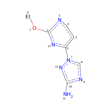 CCOc1nccc(-n2cnc(N)n2)n1